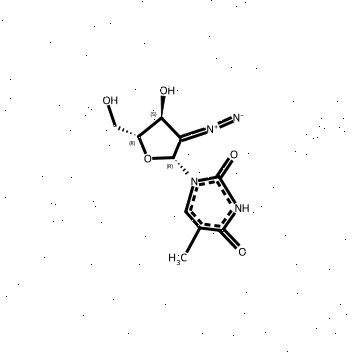 Cc1cn([C@@H]2O[C@H](CO)[C@@H](O)C2=[N+]=[N-])c(=O)[nH]c1=O